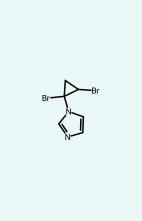 BrC1CC1(Br)n1ccnc1